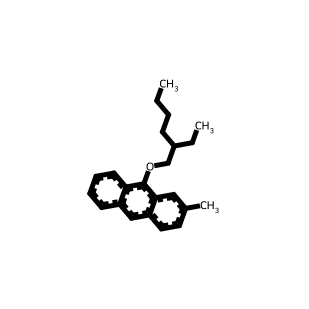 CCCCC(CC)COc1c2ccccc2cc2ccc(C)cc12